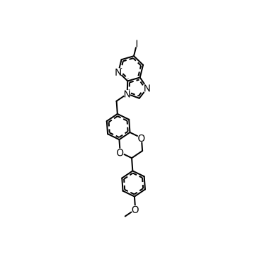 COc1ccc(C2COc3cc(Cn4cnc5cc(I)cnc54)ccc3O2)cc1